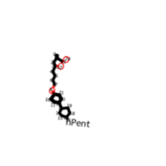 C=C1CC(CCCCOc2ccc(C3CCC(CCCCC)CC3)cc2)OC1=O